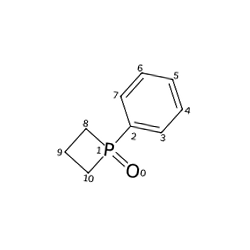 O=P1(c2ccccc2)CCC1